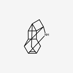 C1C2=C3NC45CC6(C2)C2C(C34)C1C265